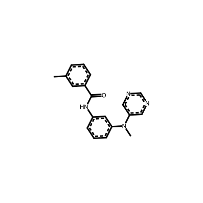 Cc1cccc(C(=O)Nc2cccc(N(C)c3cncnc3)c2)c1